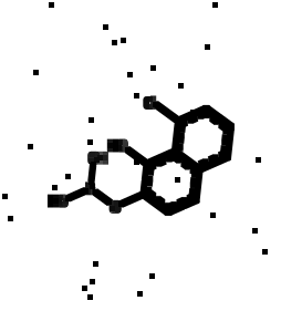 OB(O)Oc1ccc2cccc(Cl)c2c1O